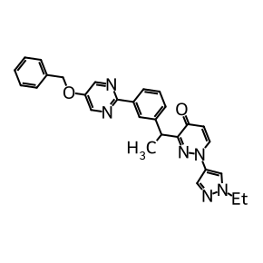 CCn1cc(-n2ccc(=O)c(C(C)c3cccc(-c4ncc(OCc5ccccc5)cn4)c3)n2)cn1